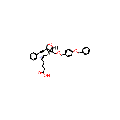 O=C(O)CCC/C=C\C[C@H]1[C@H](COCc2ccc(OCc3ccccc3)cc2)[C@@H]2C[C@@]1(C#Cc1ccccc1)CO2